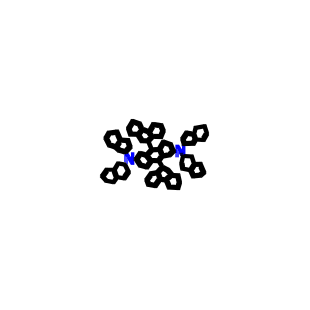 C1=CC2=C(C=CC(N(c3ccc4ccccc4c3)c3ccc4c(-c5cc6ccccc6c6ccccc56)c5cc(N(c6ccc7c(c6)C=CCC7)C6C=Cc7ccccc7C6)ccc5c(-c5cc6ccccc6c6ccccc56)c4c3)C2)CC1